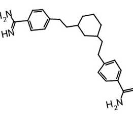 N=C(N)c1ccc(CCC2CCCC(CCc3ccc(C(=N)N)cc3)C2)cc1